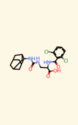 O=C(NCC(NC(=O)c1c(Cl)cccc1Cl)C(=O)O)NC1C2CC3CC(C2)CC1C3